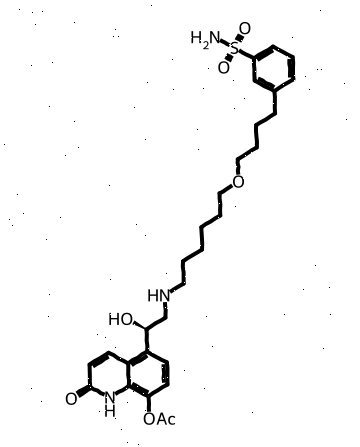 CC(=O)Oc1ccc([C@@H](O)CNCCCCCCOCCCCc2cccc(S(N)(=O)=O)c2)c2ccc(=O)[nH]c12